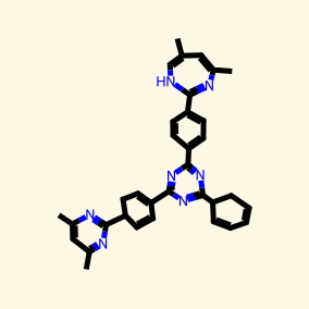 CC1=CNC(c2ccc(-c3nc(C4=CCC(c5nc(C)cc(C)n5)C=C4)nc(C4C=CC=CC4)n3)cc2)=NC(C)=C1